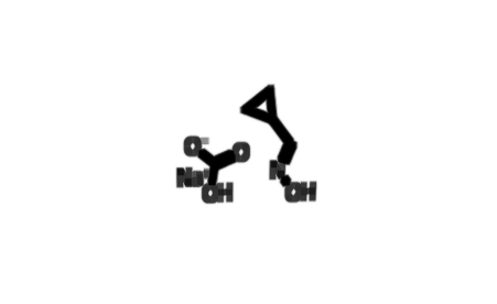 O=C([O-])O.ON=CC1CC1.[Na+]